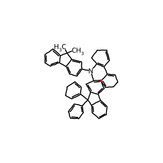 CC1(C)c2ccccc2-c2ccc(N(C3=C(C4=CCCC=C4)C=CCC3)c3ccc4c(c3)C(C3=CCCC=C3)(c3ccccc3)c3ccccc3-4)cc21